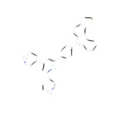 c1ccc2c(c1)c1c3sccc3ccc1n2-c1ccc(-c2cc(-c3ccncc3)cc(-c3ccncc3)n2)cc1